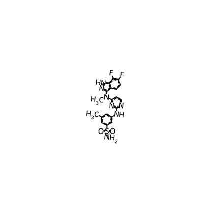 Cc1cc(Nc2nccc(N(C)c3n[nH]c4c(F)c(F)ccc34)n2)cc(S(N)(=O)=O)c1